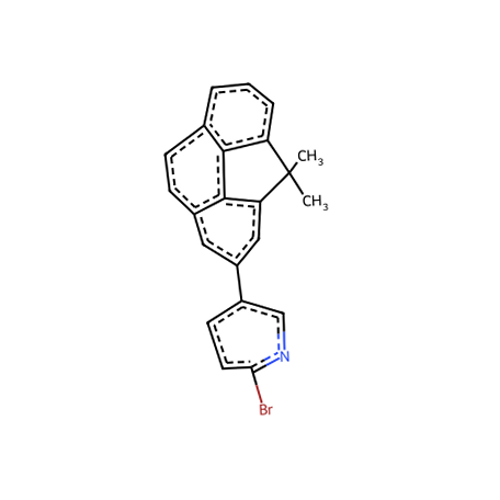 CC1(C)c2cccc3ccc4cc(-c5ccc(Br)nc5)cc1c4c23